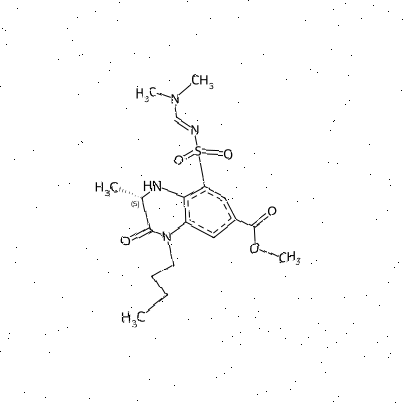 CCCCN1C(=O)[C@H](C)Nc2c1cc(C(=O)OC)cc2S(=O)(=O)N=CN(C)C